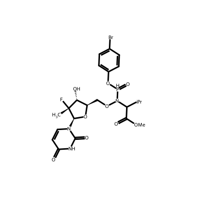 COC(=O)C(C(C)C)N(OC[C@H]1O[C@@H](n2ccc(=O)[nH]c2=O)[C@](C)(F)[C@@H]1O)[PH](=O)Oc1ccc(Br)cc1